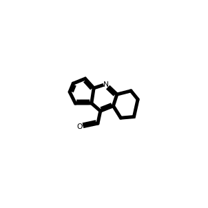 O=Cc1c2c(nc3ccccc13)CCCC2